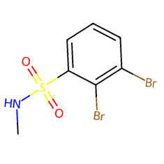 CNS(=O)(=O)c1cccc(Br)c1Br